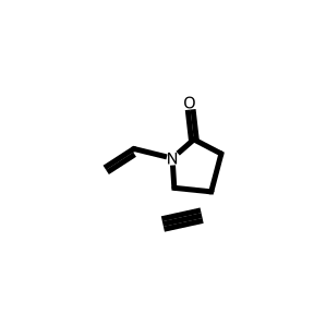 C#C.C=CN1CCCC1=O